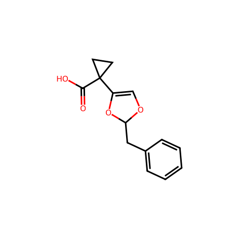 O=C(O)C1(C2=COC(Cc3ccccc3)O2)CC1